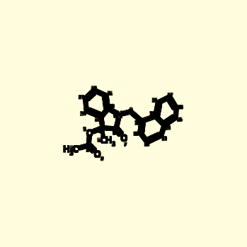 CC(=O)O[C@@]1(C)C(=O)N(Cc2cccc3ccccc23)c2ccccc21